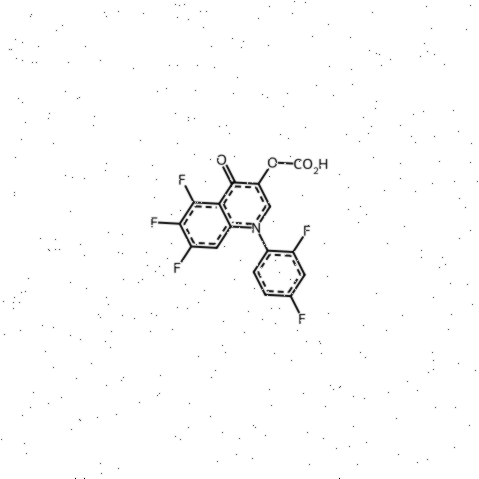 O=C(O)Oc1cn(-c2ccc(F)cc2F)c2cc(F)c(F)c(F)c2c1=O